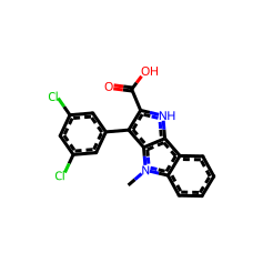 Cn1c2ccccc2c2[nH]c(C(=O)O)c(-c3cc(Cl)cc(Cl)c3)c21